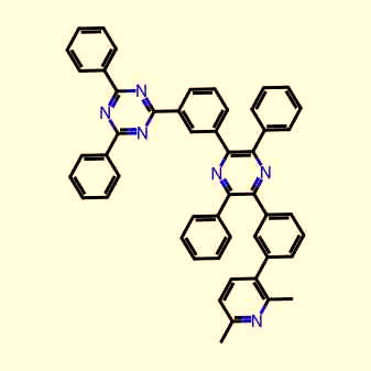 Cc1ccc(-c2cccc(-c3nc(-c4ccccc4)c(-c4cccc(-c5nc(-c6ccccc6)nc(-c6ccccc6)n5)c4)nc3-c3ccccc3)c2)c(C)n1